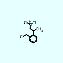 CC(C[SiH](Cl)Cl)c1ccccc1CCl